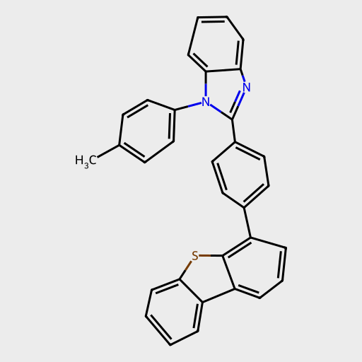 Cc1ccc(-n2c(-c3ccc(-c4cccc5c4sc4ccccc45)cc3)nc3ccccc32)cc1